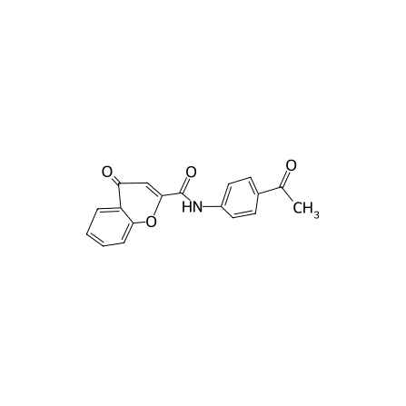 CC(=O)c1ccc(NC(=O)c2cc(=O)c3ccccc3o2)cc1